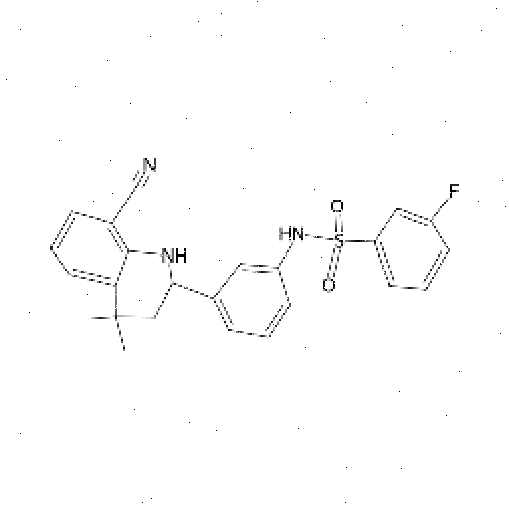 CC1(C)CC(c2cccc(NS(=O)(=O)c3cccc(F)c3)c2)Nc2c(C#N)cccc21